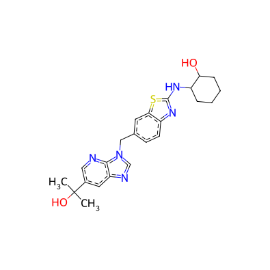 CC(C)(O)c1cnc2c(c1)ncn2Cc1ccc2nc(NC3CCCCC3O)sc2c1